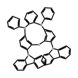 c1ccc(-n2c3ccc(-n4c5ccccc5c5ccccc54)c(c3)sc3cc(ccc3-n3c4ccccc4c4ccccc43)n(-c3ccccc3)c3ccccc32)cc1